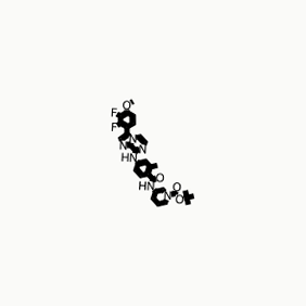 COc1ccc(-c2cnc3c(Nc4ccc(C(=O)NC5CCCN(C(=O)OC(C)(C)C)C5)c(C)c4)nccn23)c(F)c1F